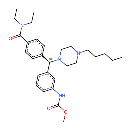 CCCCCN1CCN([C@H](c2ccc(C(=O)N(CC)CC)cc2)c2cccc(NC(=O)OC)c2)CC1